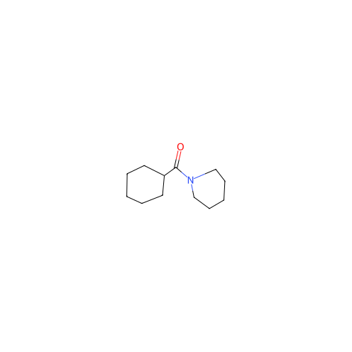 O=C(C1CCCCC1)N1CCCCC1